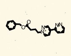 O=C(CCC[n+]1ccc(-c2cccnn2)cn1)OCc1ccccc1